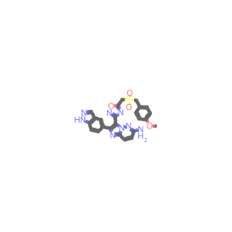 COc1ccc(CS(=O)(=O)Cc2nc(-c3c(-c4ccc5[nH]ncc5c4)nc4ccc(N)nn34)no2)cc1